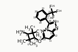 CC1(C)C(N)C(C)(C)C1Oc1ccc2nnc(-c3ccccc3C(F)(F)F)n2n1